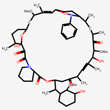 COC1CC2CCC(C)C(O)(O2)C(=O)C(=O)N2CCCCC2C(=O)OC(C(C)C2CCCC(O)C2OC)CC(=O)C(C)/C=C(\C)C(O)C(OC)C(=O)C(C)CC(C)C2CCC(/C=C/1C)ON2c1ccccc1